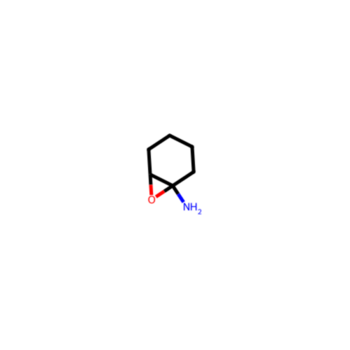 NC12CCCCC1O2